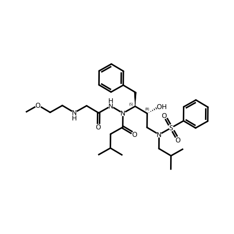 COCCNCC(=O)NN(C(=O)CC(C)C)[C@@H](Cc1ccccc1)[C@H](O)CN(CC(C)C)S(=O)(=O)c1ccccc1